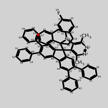 Cc1nnc(C)c2c1N1CCc3ccccc3C1(CCc1ccc(F)cc1)C21c2cc(-c3ccccc3)c(-c3ccccc3)cc2-c2cc(-c3ccccc3)c(-c3ccccc3)cc21